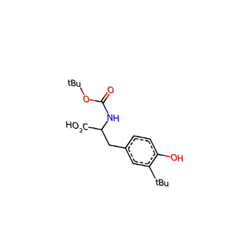 CC(C)(C)OC(=O)NC(Cc1ccc(O)c(C(C)(C)C)c1)C(=O)O